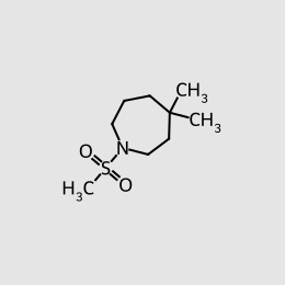 CC1(C)CCCN(S(C)(=O)=O)CC1